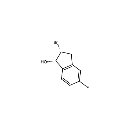 O[C@H]1c2ccc(F)cc2C[C@H]1Br